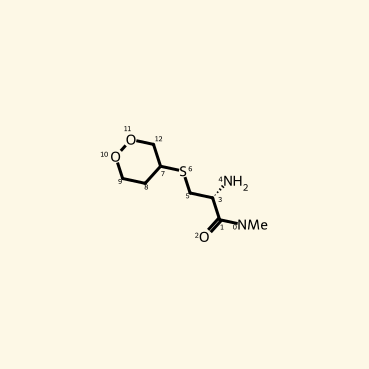 CNC(=O)[C@@H](N)CSC1CCOOC1